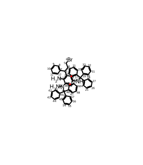 Nc1c(C(CCBr)c2ccccc2)cc(NC(c2ccccc2)(c2ccccc2)c2ccccc2)nc1N(N)C(c1ccccc1)(c1ccccc1)c1ccccc1